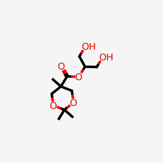 CC1(C)OCC(C)(C(=O)OC(CO)CO)CO1